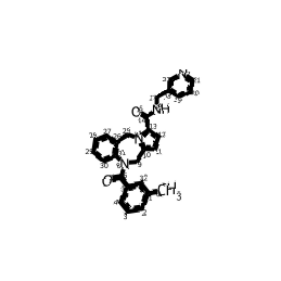 Cc1cccc(C(=O)N2Cc3ccc(C(=O)NCc4cccnc4)n3Cc3ccccc32)c1